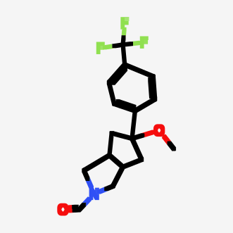 COC1(c2ccc(C(F)(F)F)cc2)CC2CN(C=O)CC2C1